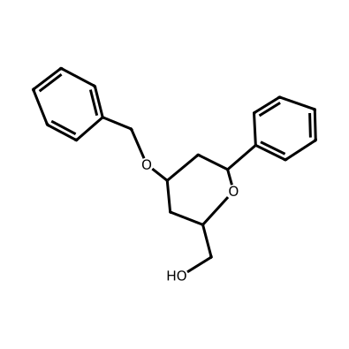 OCC1CC(OCc2ccccc2)CC(c2ccccc2)O1